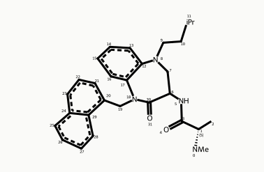 CN[C@@H](C)C(=O)NC1CN(CCC(C)C)c2ccccc2N(Cc2cccc3ccccc23)C1=O